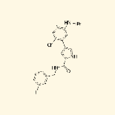 CC(C)Nc1cc(-c2c[nH]c(C(=O)NCc3cccc(F)c3)c2)c(Cl)cn1